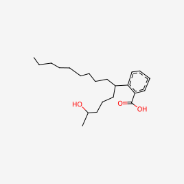 CCCCCCCCCC(CCCC(C)O)c1ccccc1C(=O)O